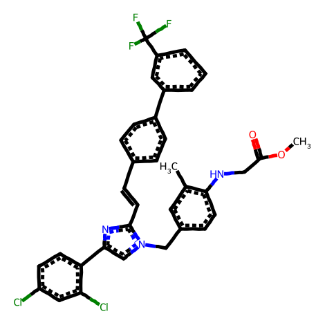 COC(=O)CNc1ccc(Cn2cc(-c3ccc(Cl)cc3Cl)nc2/C=C/c2ccc(-c3cccc(C(F)(F)F)c3)cc2)cc1C